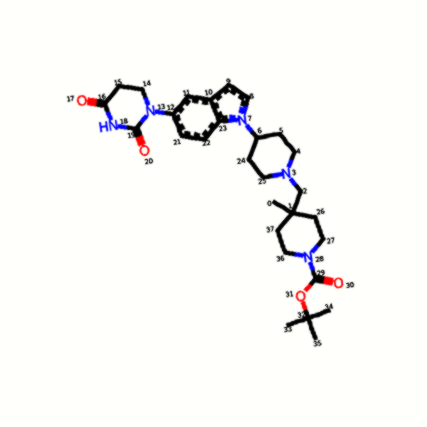 CC1(CN2CCC(n3ccc4cc(N5CCC(=O)NC5=O)ccc43)CC2)CCN(C(=O)OC(C)(C)C)CC1